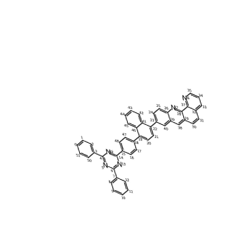 c1ccc(-c2nc(-c3ccccc3)nc(-c3ccc(-c4ccc(-c5ccc6nc7c(ccc8cccnc87)cc6c5)c5ccccc45)cc3)n2)cc1